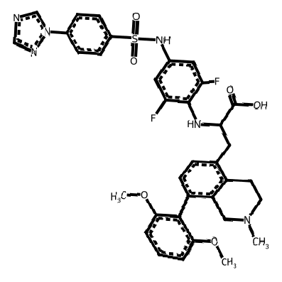 COc1cccc(OC)c1-c1ccc(CC(Nc2c(F)cc(NS(=O)(=O)c3ccc(-n4cncn4)cc3)cc2F)C(=O)O)c2c1CN(C)CC2